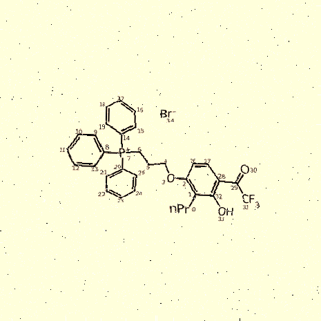 CCCc1c(OCCC[P+](c2ccccc2)(c2ccccc2)c2ccccc2)ccc(C(=O)C(F)(F)F)c1O.[Br-]